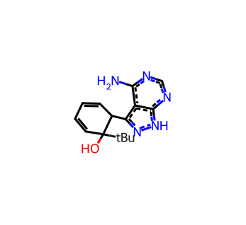 CC(C)(C)C1(O)C=CC=CC1c1n[nH]c2ncnc(N)c12